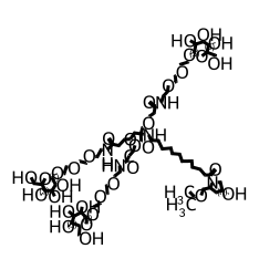 CC(C)OCC1C[C@@H](O)CN1C(=O)CCCCCCCCCCC(=O)NC(COCCC(=O)NCCOCCOCCO[C@H]1OC(CO)[C@@H](O)C(O)C1O)(COCCC(=O)NCCOCCOCCO[C@H]1OC(CO)[C@@H](O)C(O)C1O)COCCC(=O)NCCOCCOCCO[C@H]1OC(CO)[C@@H](O)C(O)C1O